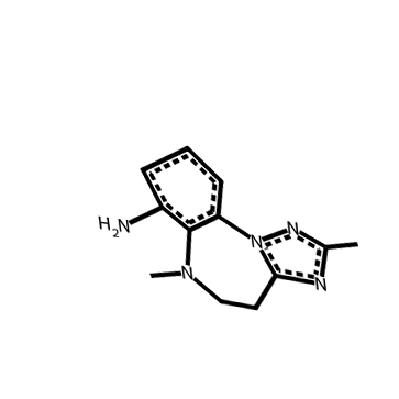 Cc1nc2n(n1)-c1cccc(N)c1N(C)CC2